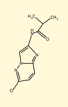 CC(C)C(=O)Nc1cn2nc(Cl)ccc2n1